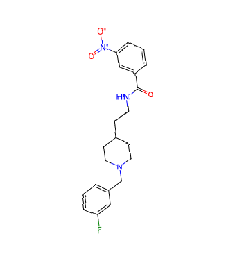 O=C(NCCC1CCN(Cc2cccc(F)c2)CC1)c1cccc([N+](=O)[O-])c1